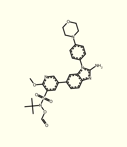 COc1ncc(-c2ccc3nc(N)n(-c4ccc(N5CCOCC5)cc4)c3c2)cc1S(=O)(=O)N(OC=O)C(C)(C)C